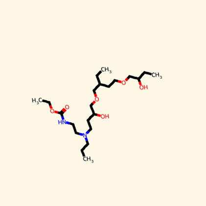 CCCN(CCNC(=O)OCC)CCC(O)COCC(CC)CCOCC(O)CC